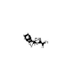 CCC(I)C(=O)OC(C)(C)C1CC2CCC1C2